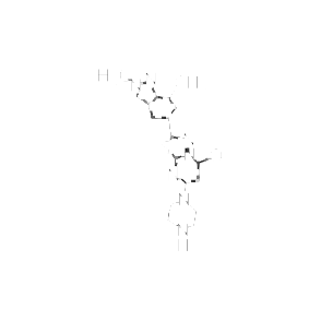 Cc1cc(-c2nn3c(=O)cc(N4CCNCC4)nc3s2)cc2cn(C)nc12